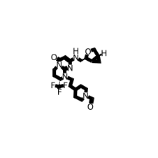 O=CN1CCC(CCN2c3nc(NC[C@H]4OC[C@@H]5CC54)cc(=O)n3CC[C@H]2C(F)(F)F)CC1